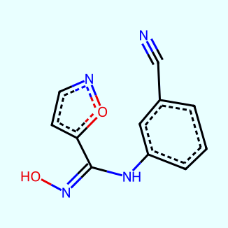 N#Cc1cccc(N/C(=N/O)c2ccno2)c1